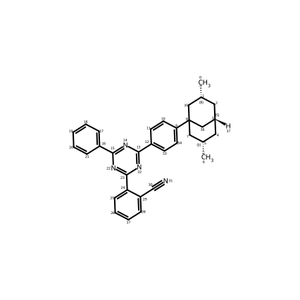 C[C@@H]1C[C@@H]2C[C@H](C)CC(c3ccc(-c4nc(-c5ccccc5)nc(-c5ccccc5C#N)n4)cc3)(C1)C2